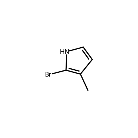 Cc1cc[nH]c1Br